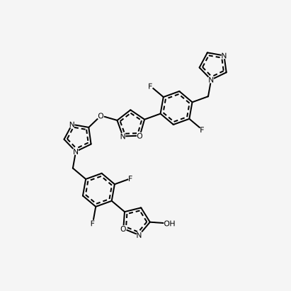 Oc1cc(-c2c(F)cc(Cn3cnc(Oc4cc(-c5cc(F)c(Cn6ccnc6)cc5F)on4)c3)cc2F)on1